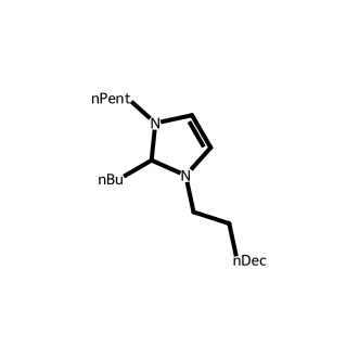 CCCCCCCCCCCCN1C=CN(CCCCC)C1CCCC